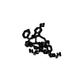 CC(NS(=O)(=O)N(C)C)c1c(CCOc2ccc(C(=O)O)cc2)c2cc(Cl)ccc2n1C(c1ccccc1)c1ccccc1